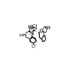 Cl.Clc1ccc2c(c1)CNCc1nnc([C@H]3Cc4ccccc4C4(CCNCC4)O3)n1-2